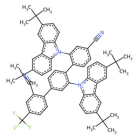 CC(C)(C)c1ccc2c(c1)c1cc(C(C)(C)C)ccc1n2-c1cc(C#N)ccc1-c1ccc(-c2ccc(C(F)(F)F)cc2C#N)cc1-n1c2ccc(C(C)(C)C)cc2c2cc(C(C)(C)C)ccc21